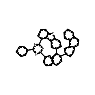 c1ccc(-c2nc(-c3ccccc3)nc(-c3cccc4oc5ccc(-c6ccccc6-c6ccc7ccc8ccccc8c7c6)cc5c34)n2)cc1